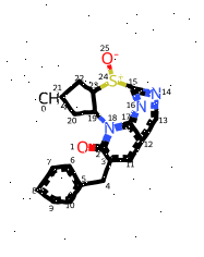 C.O=c1c(Cc2ccccc2)cc2cnc3nc2n1C1CCCC1[S+]3[O-]